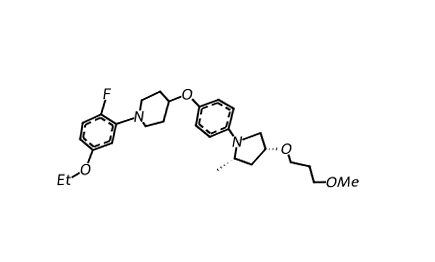 CCOc1ccc(F)c(N2CCC(Oc3ccc(N4C[C@H](OCCCOC)C[C@@H]4C)cc3)CC2)c1